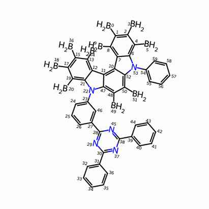 Bc1c(B)c(B)c2c(c1B)c1c3c4c(B)c(B)c(B)c(B)c4n(-c4cccc(-c5nc(-c6ccccc6)nc(-c6ccccc6)n5)c4)c3c(B)c(B)c1n2-c1ccccc1